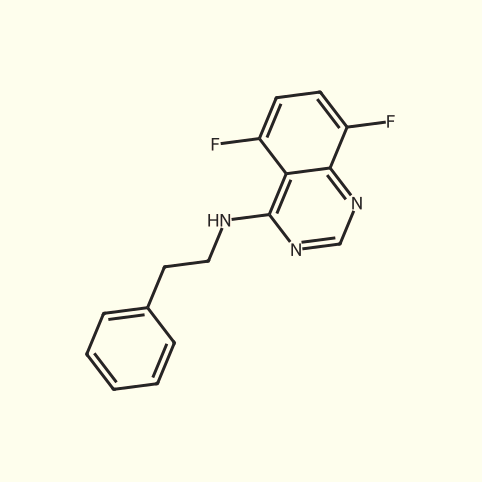 Fc1ccc(F)c2c(NCCc3ccccc3)ncnc12